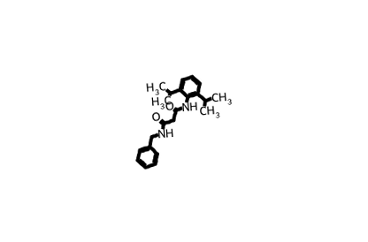 CC(C)c1cccc(C(C)C)c1NC(=O)CC(=O)NCc1ccccc1